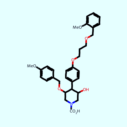 COc1ccc(COC2CN(C(=O)O)CC(O)C2c2ccc(OCCCOCc3ccccc3OC)cc2)cc1